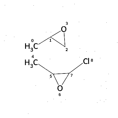 CC1CO1.CC1OC1Cl